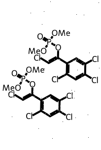 COP(=O)(OC)O/C(=C\Cl)c1cc(Cl)c(Cl)cc1Cl.COP(=O)(OC)O/C(=C\Cl)c1cc(Cl)c(Cl)cc1Cl